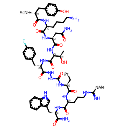 CNC(=N)NCCC[C@H](NC(=O)[C@H](CC(C)C)NC(=O)NNC(=O)[C@H](Cc1ccc(F)cc1)NC(=O)[C@@H](NC(=O)[C@H](CC(N)=O)NC(=O)[C@H](CCCCN)NC(=O)[C@@H](Cc1ccc(O)cc1)NC(C)=O)[C@@H](C)O)C(=O)N[C@@H](Cc1c[nH]c2ccccc12)C(N)=O